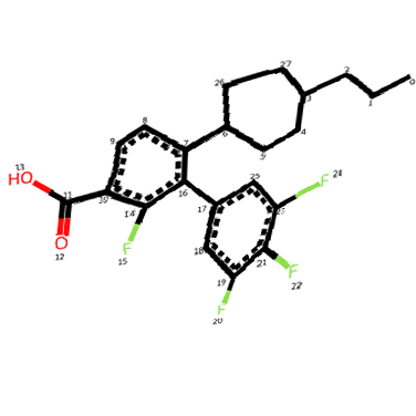 CCCC1CCC(c2ccc(C(=O)O)c(F)c2-c2cc(F)c(F)c(F)c2)CC1